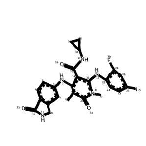 Cc1c(Nc2ccc3c(c2)CNC3=O)c(C(=O)NC2CC2)c(Nc2ccc(I)cc2F)n(C)c1=O